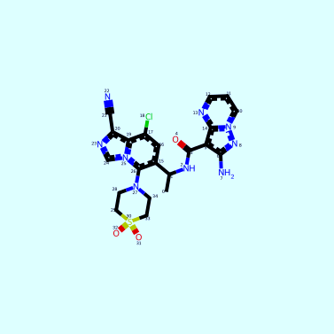 CC(NC(=O)c1c(N)nn2cccnc12)c1cc(Cl)c2c(C#N)ncn2c1N1CCS(=O)(=O)CC1